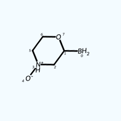 BC1C[NH+]([O-])CCO1